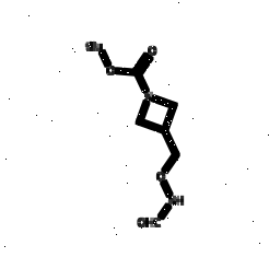 CC(C)(C)OC(=O)N1CC(CONC=O)C1